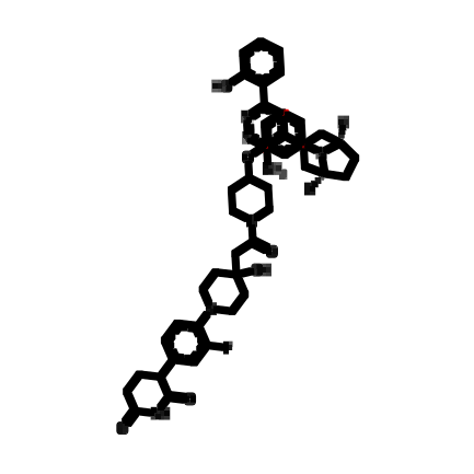 Nc1nnc(-c2ccccc2O)cc1N1C[C@H]2CC[C@@H](C1)N2c1cccc(OC2CCN(C(=O)CC3(O)CCN(c4ccc(C5CCC(=O)NC5=O)cc4F)CC3)CC2)c1